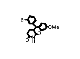 COc1ccc(C(c2cccc(Br)c2)C2CCC(=O)NC2=O)cc1